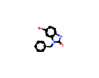 O=C1[N]c2ccc(Br)cc2N1Cc1ccccc1